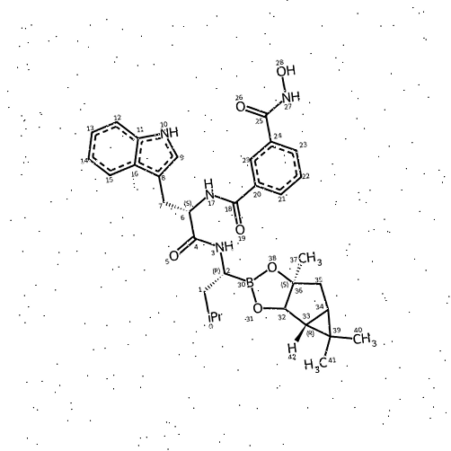 CC(C)C[C@H](NC(=O)[C@H](Cc1c[nH]c2ccccc12)NC(=O)c1cccc(C(=O)NO)c1)B1OC2[C@@H]3C(C[C@]2(C)O1)C3(C)C